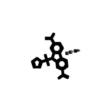 C=C(C)c1ccc2c(c1)C(C(C)(C)C1=CC=CC1)c1cc(C(=C)C)ccc1-2.[Cl-].[Cl-].[Zr+2]